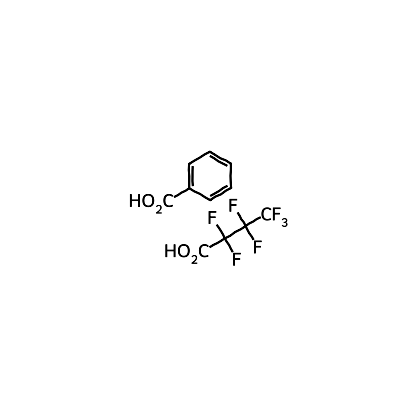 O=C(O)C(F)(F)C(F)(F)C(F)(F)F.O=C(O)c1ccccc1